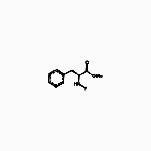 COC(=O)[C@H](Cc1ccccc1)NF